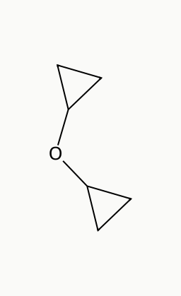 C1CC1OC1CC1